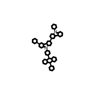 c1ccc(-c2ccc3c(c2)c2cc(-c4ccc5c(c4)c4ccccc4n5-c4ccccc4)ccc2n3-c2ccc(-c3c4ccccc4c(-c4ccccc4)c4ccccc34)cc2)cc1